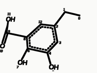 CCc1cc(O)c(O)c(C(=O)O)c1